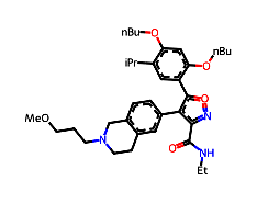 CCCCOc1cc(OCCCC)c(C(C)C)cc1-c1onc(C(=O)NCC)c1-c1ccc2c(c1)CCN(CCCOC)C2